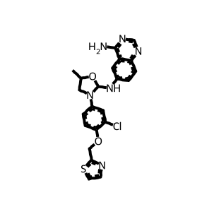 CC1CN(c2ccc(OCc3nccs3)c(Cl)c2)C(Nc2ccc3ncnc(N)c3c2)O1